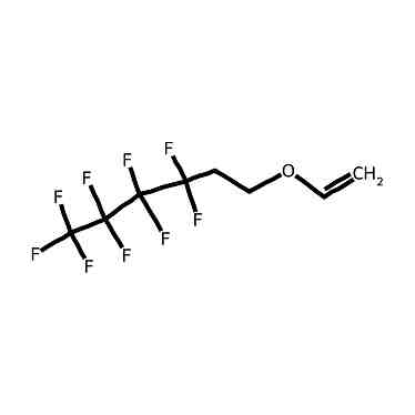 C=COCCC(F)(F)C(F)(F)C(F)(F)C(F)(F)F